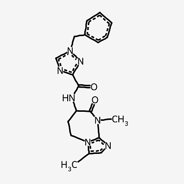 Cc1cnc2n1CCC(NC(=O)c1ncn(Cc3ccccc3)n1)C(=O)N2C